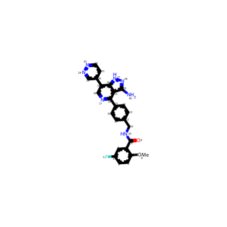 COc1ccc(F)cc1C(=O)NCc1ccc(-c2ncc(-c3ccnnc3)c3[nH]nc(N)c23)cc1